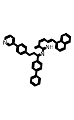 C=C(/C=C\C=C\c1cccc2ccccc12)C(=N)/N=C(\CCc1ccc(-c2cccnc2)cc1)c1ccc(-c2ccccc2)cc1